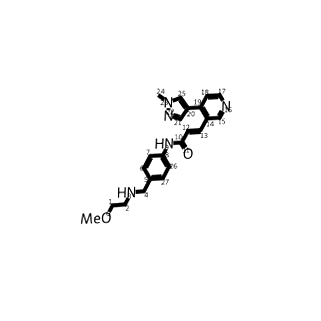 COCCNCc1ccc(NC(=O)C=Cc2cnccc2-c2cnn(C)c2)cc1